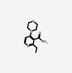 CCc1nccc(N2CCSCC2)c1C(N)=O